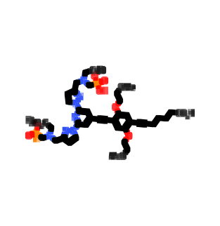 CCO[PH](=O)CN(CC(=O)O)Cc1ccn(-c2cc(C#Cc3cc(OCCOC)c(C#CCCCCC(=O)O)cc3OCCOC)cc(-n3ccc(CN(CC=O)CP(=O)(O)OCC)n3)n2)n1